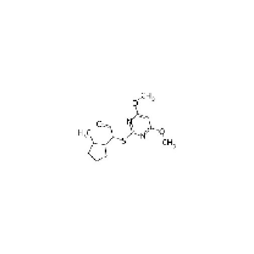 COc1cc(OC)nc(SC(C=O)C2CCCC2C)n1